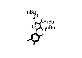 CCCCOC[C@H]1O[C@@H](c2cc(C)c(F)cc2F)C(OCCCC)C1OCCCC